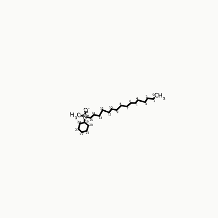 CCCCCCCCCCCCCCCC[N+](C)([O-])C1CCCCC1